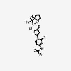 CC[C@H]1O[C@@H](n2ccc(NC(=O)C(C)C)nc2=O)CC1O[P@@]1O[C@@](C)(C(C)C)[C@@H]2CCCN21